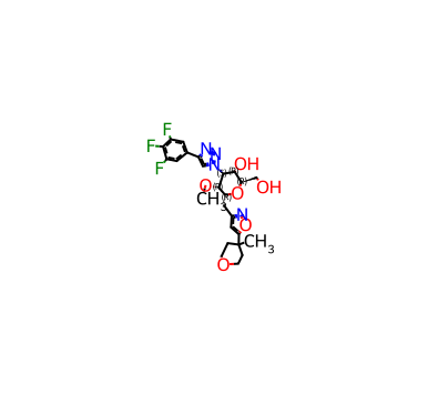 CO[C@@H]1[C@@H](n2cc(-c3cc(F)c(F)c(F)c3)nn2)[C@@H](O)[C@@H](CO)O[C@@H]1Cc1cc(C2(C)CCOCC2)on1